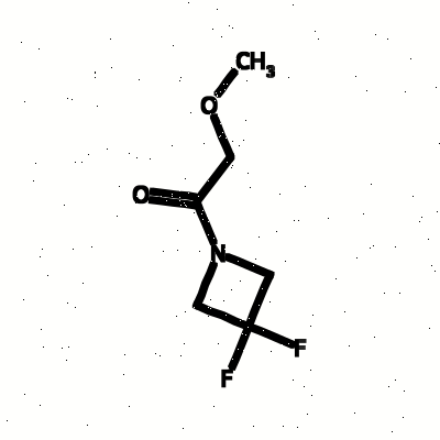 COCC(=O)N1CC(F)(F)C1